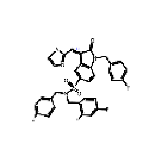 O=C1/C(=C/c2nccs2)c2cc(S(=O)(=O)N(Cc3ccc(F)cc3)Cc3ccc(F)cc3F)ccc2N1Cc1ccc(F)cc1